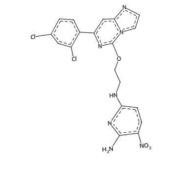 Nc1nc(NCCOc2nc(-c3ccc(Cl)cc3Cl)cc3nccn23)ccc1[N+](=O)[O-]